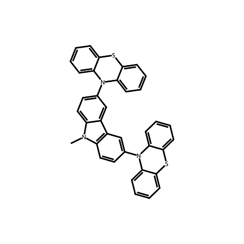 Cn1c2ccc(N3c4ccccc4Sc4ccccc43)cc2c2cc(N3c4ccccc4Sc4ccccc43)ccc21